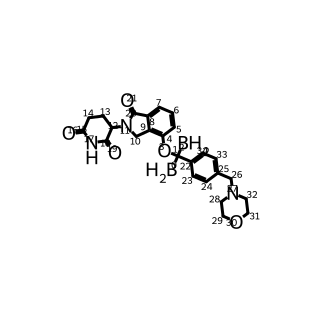 BC(B)(Oc1cccc2c1CN(C1CCC(=O)NC1=O)C2=O)c1ccc(CN2CCOCC2)cc1